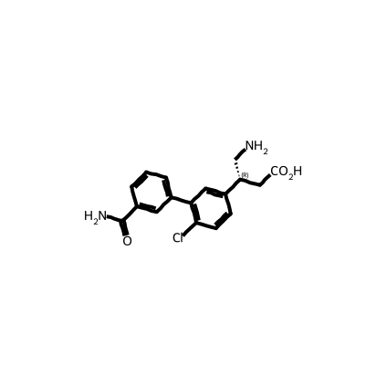 NC[C@H](CC(=O)O)c1ccc(Cl)c(-c2cccc(C(N)=O)c2)c1